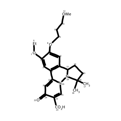 CCOc1cc2c(cc1OCCCOC)C1CCC(C)(C)N1n1cc(C(=O)O)c(=O)cc1-2